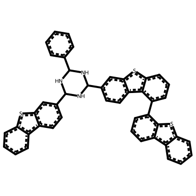 c1ccc(C2NC(c3ccc4c(c3)sc3ccccc34)NC(c3ccc4c(c3)sc3cccc(-c5cccc6c5sc5ccccc56)c34)N2)cc1